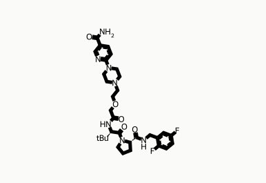 CC(C)(C)[C@H](NC(=O)COCCN1CCN(c2ccc(C(N)=O)cn2)CC1)C(=O)N1CCC[C@H]1C(=O)NCc1cc(F)ccc1F